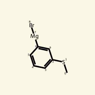 CSc1ccc[c]([Mg][Br])c1